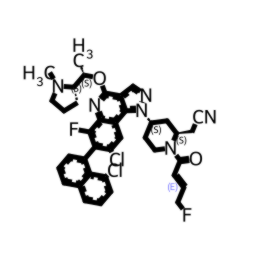 C[C@H](Oc1nc2c(F)c(-c3cccc4cccc(Cl)c34)c(Cl)cc2c2c1cnn2[C@H]1CCN(C(=O)/C=C/CF)[C@H](CC#N)C1)[C@@H]1CCCN1C